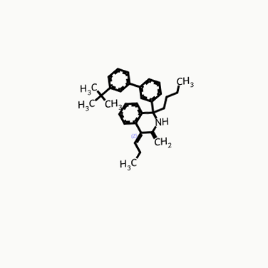 C=C1NC(CCCC)(c2cccc(-c3cccc(C(C)(C)C)c3)c2)c2ccccc2/C1=C/CC